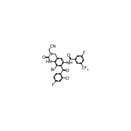 N#CCN1Cc2cc(NC(=O)c3cc(F)cc(C(F)(F)F)c3)c(C(=O)c3ccc(F)cc3Cl)c(Br)c2NC1=O